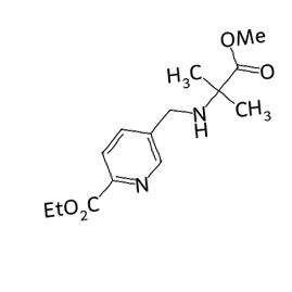 CCOC(=O)c1ccc(CNC(C)(C)C(=O)OC)cn1